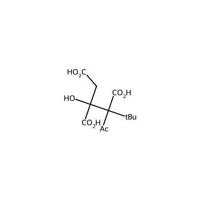 CC(=O)C(C(=O)O)(C(C)(C)C)C(O)(CC(=O)O)C(=O)O